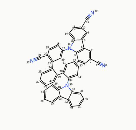 N#Cc1ccc2c(c1)c1cc(C#N)ccc1n2-c1ccc(C#N)c(-c2ccccc2-c2ccccc2-n2c3ccccc3c3ccccc32)c1